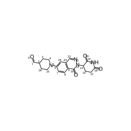 O=CC1CCN(c2ccc3c(=O)n(C4CCC(=O)NC4=O)ncc3c2)CC1